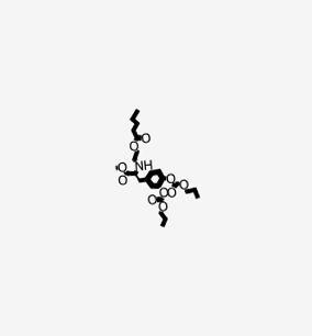 CCCCC(=O)OCCN[C@@H](Cc1ccc(OC(=O)OCCC)c(OC(=O)OCCC)c1)C(=O)OC